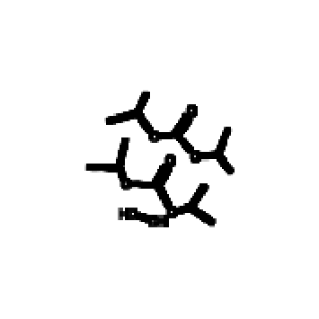 CC(C)OC(=O)OC(C)C.CC(C)OC(=O)OC(C)C.OO